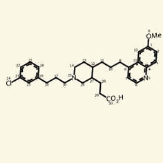 COc1ccc2nccc(CCCC3CCN(CCCc4cccc(Cl)c4)CC3CCC(=O)O)c2c1